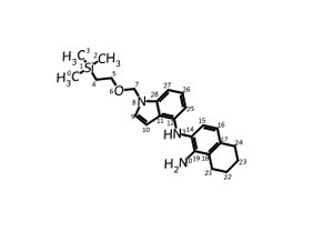 C[Si](C)(C)CCOCn1ccc2c(Nc3ccc4c(c3N)CCCC4)cccc21